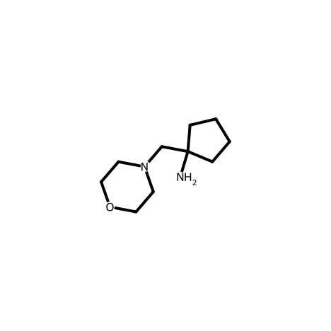 NC1(CN2CCOCC2)CCCC1